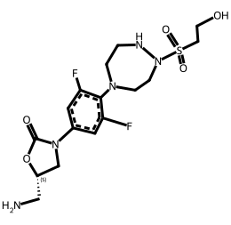 NC[C@H]1CN(c2cc(F)c(N3CCNN(S(=O)(=O)CCO)CC3)c(F)c2)C(=O)O1